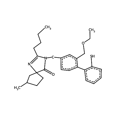 CCCCC1=NC2(CCC(C)C2)C(=O)N1Cc1ccc(-c2ccccc2S)c(COCC)c1